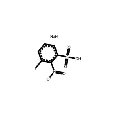 O=[N+]([O-])c1c(I)cccc1S(=O)(=O)O.[NaH]